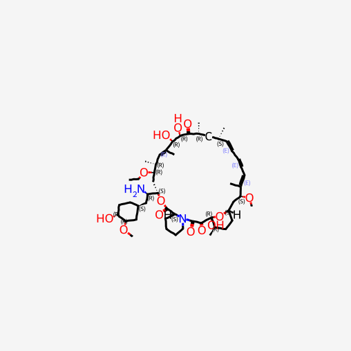 CCO[C@@H]1C[C@@H]([C@H](N)C[C@@H]2CC[C@@H](O)[C@H](OC)C2)OC(=O)[C@@H]2CCCCN2C(=O)C(=O)[C@]2(O)O[C@@H](CC[C@H]2C)C[C@H](OC)/C(C)=C/C=C/C=C/[C@@H](C)C[C@@H](C)C(=O)[C@H](O)[C@H](O)/C(C)=C/[C@H]1C